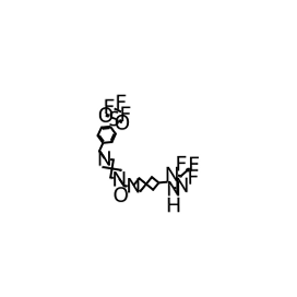 O=C(N1CC2(CC(c3nc(C(F)(F)F)n[nH]3)C2)C1)N1CC2(CN(Cc3ccc(S(=O)(=O)C(F)(F)F)cc3)C2)C1